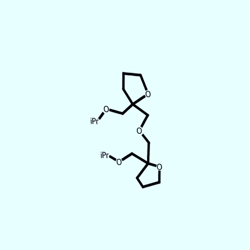 CC(C)OCC1(COCC2(COC(C)C)CCCO2)CCCO1